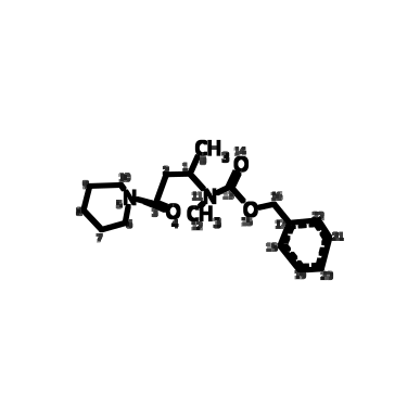 CC(CC(=O)N1CCCCC1)N(C)C(=O)OCc1ccccc1